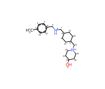 Cc1ccc(CNCC2CCC(CN3CCC(O)CC3)CC2)cc1